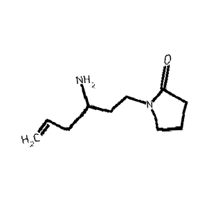 C=CCC(N)CCN1CCCC1=O